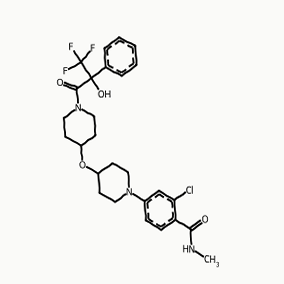 CNC(=O)c1ccc(N2CCC(OC3CCN(C(=O)C(O)(c4ccccc4)C(F)(F)F)CC3)CC2)cc1Cl